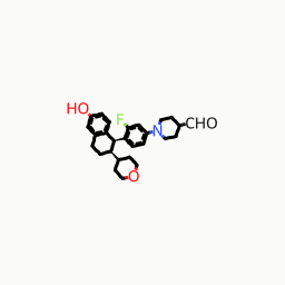 O=CC1CCN(c2ccc([C@@H]3c4ccc(O)cc4CC[C@@H]3C3CCOCC3)c(F)c2)CC1